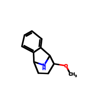 COC1CCC2NC1c1ccccc12